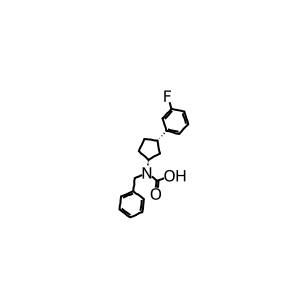 O=C(O)N(Cc1ccccc1)[C@@H]1CC[C@H](c2cccc(F)c2)C1